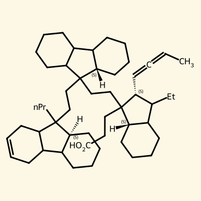 CC=C=C[C@@H]1C(CC)C2CCCC[C@@H]2C1(CCC(=O)O)CCC1(CCC2(CCC)C3CC=CCC3C3CCCC[C@@H]32)C2CCCCC2C2CCCC[C@@H]21